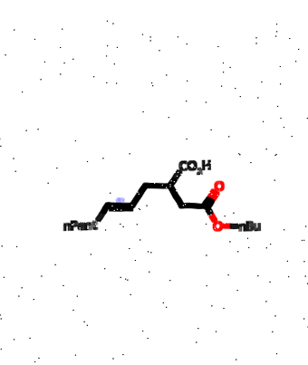 CCCCC/C=C/CC(CC(=O)OCCCC)C(=O)O